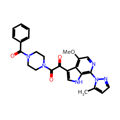 COc1cnc(-n2nccc2C)c2[nH]cc(C(=O)C(=O)N3CCN(C(=O)c4ccccc4)CC3)c12